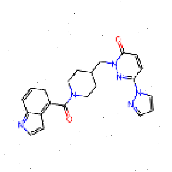 O=C(C1=C2C=CN=C2C=CC1)N1CCC(Cn2nc(-n3cccn3)ccc2=O)CC1